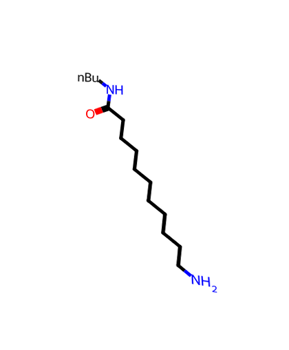 CCCCNC(=O)CCCCCCCCCCN